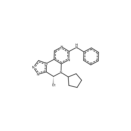 CC[C@@H]1c2nncn2-c2cnc(Nc3ccccc3)nc2N1C1CCCC1